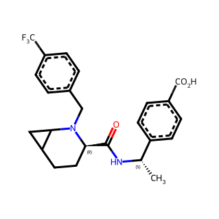 C[C@H](NC(=O)[C@H]1CCC2CC2N1Cc1ccc(C(F)(F)F)cc1)c1ccc(C(=O)O)cc1